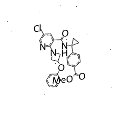 COC(=O)c1ccc(C2(NC(=O)c3cc(Cl)cnc3N3CC(Oc4ccccc4)C3)CC2)cc1